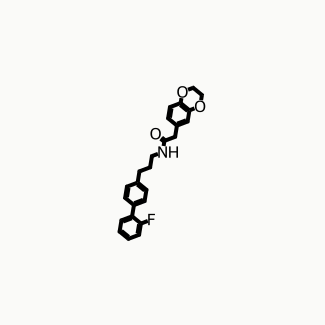 O=C(Cc1ccc2c(c1)OCCO2)NCCCc1ccc(-c2ccccc2F)cc1